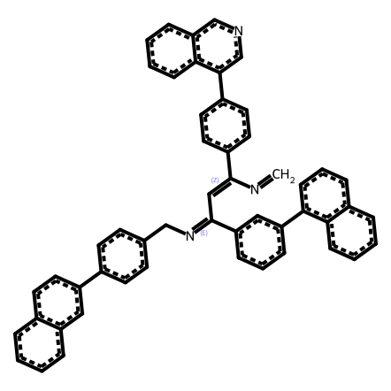 C=N/C(=C\C(=N/Cc1ccc(-c2ccc3ccccc3c2)cc1)c1cccc(-c2cccc3ccccc23)c1)c1ccc(-c2cncc3ccccc23)cc1